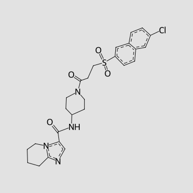 O=C(NC1CCN(C(=O)CCS(=O)(=O)c2ccc3cc(Cl)ccc3c2)CC1)c1cnc2n1CCCC2